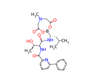 CC(C)C[C@H](NC(=O)[C@@H](NC(=O)c1cccc(-c2ccccc2)n1)[C@@H](C)O)B1OC(=O)CN(C)CC(=O)O1